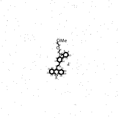 COCCOCCn1c2ccccc2c2cc(/C=C/c3c4ccccc4[n+](C)c4ccccc34)ccc21.[I-]